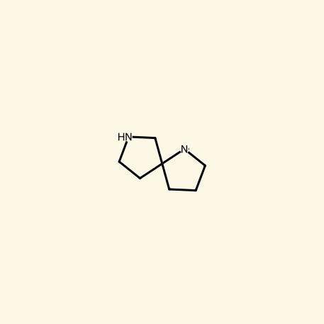 C1C[N]C2(C1)CCNC2